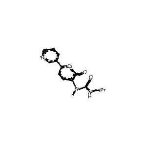 CC(C)NC(=O)N(C)c1ccc(-c2cccnc2)oc1=O